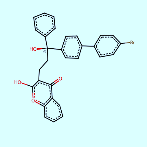 O=c1c(CC[C@](O)(c2ccccc2)c2ccc(-c3ccc(Br)cc3)cc2)c(O)oc2ccccc12